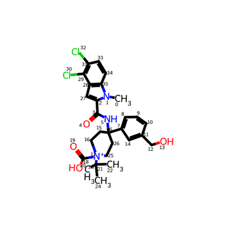 Cn1c(C(=O)NC2(c3cccc(CO)c3)CC[N+](C(=O)O)(C(C)(C)C)CC2)cc2c(Cl)c(Cl)ccc21